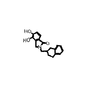 O=C1c2ccc(O)c(O)c2CN1CC1CCc2ccccc2C1